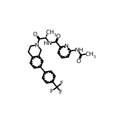 CC(=O)Nc1cccc(C(=O)N[C@H](C)C(=O)N2CCc3ccc(-c4ccc(C(F)(F)F)cc4)cc3C2)n1